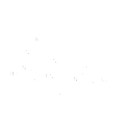 Cn1cnc2c(Br)cnc(N[C@@H]3CN(C(=O)OC(C)(C)C)C[C@@H]3F)c2c1=O